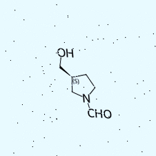 O=CN1CC[C@H](CO)C1